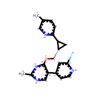 Cc1ccc(C2C[C@@H]2COc2nc(C)ncc2-c2ccnc(F)c2)nc1